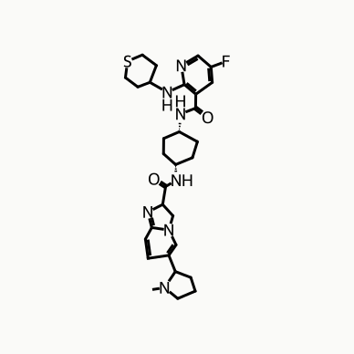 CN1CCCC1C1=CN2CC(C(=O)N[C@H]3CC[C@@H](NC(=O)c4cc(F)cnc4NC4CCSCC4)CC3)N=C2C=C1